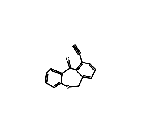 C#Cc1cccc2c1C(=O)c1ccccc1SC2